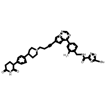 Cc1cc(-c2ncnn3cc(C#CCCN4CCC(c5ccc(C6CCC(=O)NC6=O)cc5)CC4)cc23)ccc1CNC(=O)c1noc(C(C)(C)C)n1